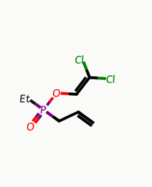 C=CCP(=O)(CC)OC=C(Cl)Cl